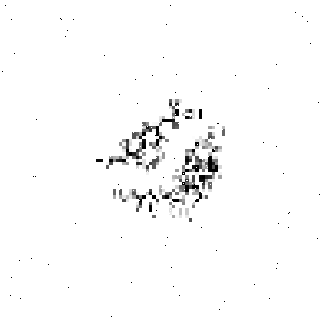 CC(C)CCC[C@@H](C)[C@H]1CC[C@H]2[C@@H]3CC=C4C[C@@H](O)CC[C@]4(C)[C@H]3CC[C@]12C.CCC(=O)Oc1ccc(C=CC(=O)O)cc1OC